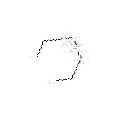 CCCCCCCC/C=C\CCCCCCCC(=O)N[C@@H](CS)C(=O)CC(N)NC(=O)C(C)N(C(C)N)C(C)C(=O)NC(N)CC(=O)[C@H](CS)NC(=O)CCCCCCC/C=C\CCCCCCCC